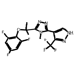 Cn1c(-c2c[nH]nc2C(F)(F)F)nnc1C(C)(C)Oc1c(F)cc(F)cc1F